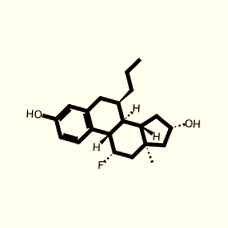 CCC[C@@H]1Cc2cc(O)ccc2[C@@H]2[C@@H]1[C@@H]1C[C@H](O)C[C@@]1(C)C[C@@H]2F